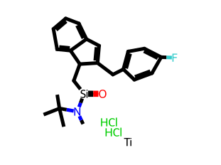 CN([Si](=O)CC1C(Cc2ccc(F)cc2)=Cc2ccccc21)C(C)(C)C.Cl.Cl.[Ti]